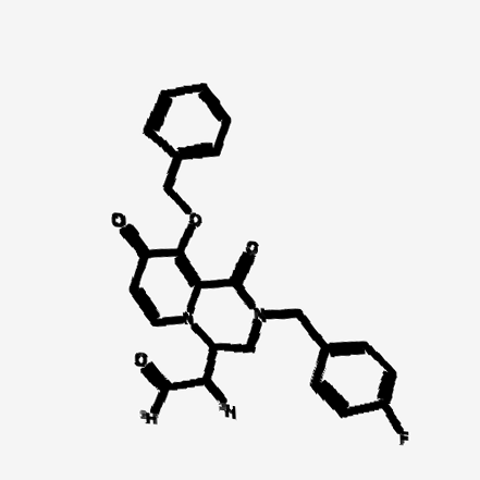 [3H]C(=O)C([3H])C1CN(Cc2ccc(F)cc2)C(=O)c2c(OCc3ccccc3)c(=O)ccn21